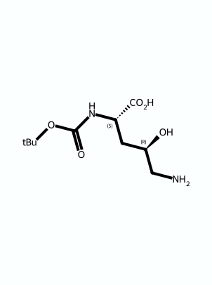 CC(C)(C)OC(=O)N[C@@H](C[C@@H](O)CN)C(=O)O